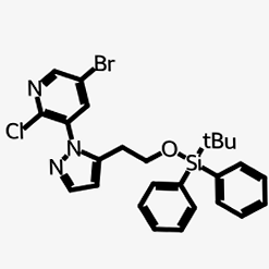 CC(C)(C)[Si](OCCc1ccnn1-c1cc(Br)cnc1Cl)(c1ccccc1)c1ccccc1